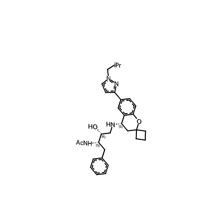 CC(=O)N[C@@H](Cc1ccccc1)[C@H](O)CN[C@H]1CC2(CCC2)Oc2ccc(-c3ccn(CC(C)C)n3)cc21